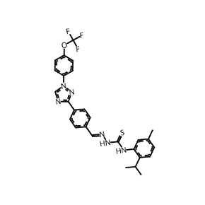 Cc1ccc(C(C)C)c(NC(=S)N/N=C/c2ccc(-c3ncn(-c4ccc(OC(F)(F)F)cc4)n3)cc2)c1